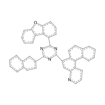 c1ccc2cc(-c3nc(-c4cc5ncccc5c5c4ccc4ccccc45)nc(-c4cccc5oc6ccccc6c45)n3)ccc2c1